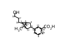 CC12CC13CC(c1ccnc(C(=O)O)c1)C2CC3CCCO